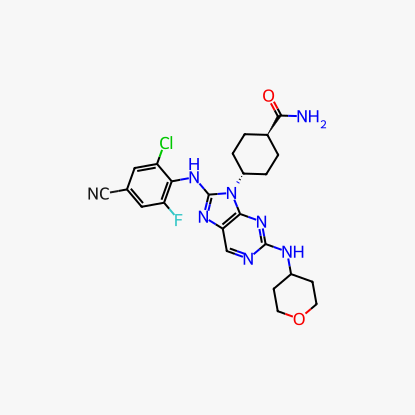 N#Cc1cc(F)c(Nc2nc3cnc(NC4CCOCC4)nc3n2[C@H]2CC[C@H](C(N)=O)CC2)c(Cl)c1